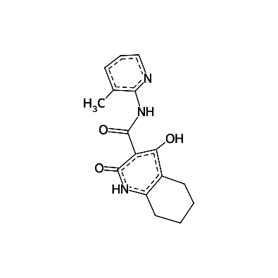 Cc1cccnc1NC(=O)c1c(O)c2c([nH]c1=O)CCCC2